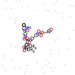 Cc1cc(C[C@@H](OC(=O)N2CCC(N3CCc4ccccc4NC3=O)CC2)C(=O)N2CCC(C3CCN(C(=O)C(=O)OCCCN4CCOCC4)CC3)CC2)cc2oc(=O)n(C)c12